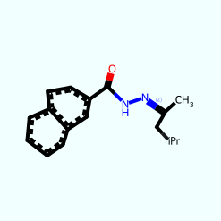 C/C(CC(C)C)=N/NC(=O)c1ccc2ccccc2c1